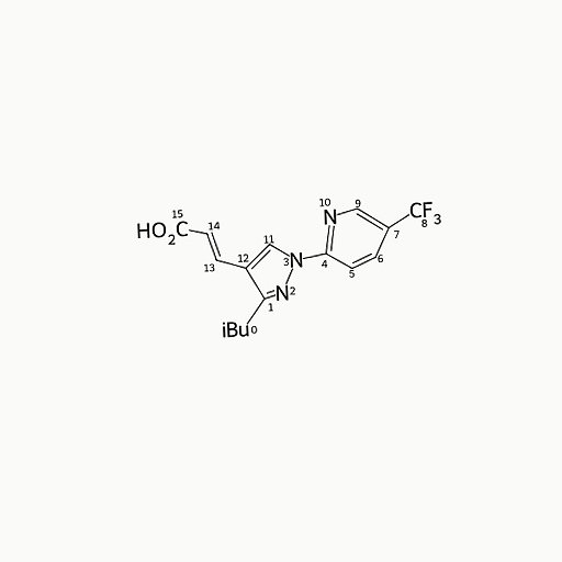 CCC(C)c1nn(-c2ccc(C(F)(F)F)cn2)cc1C=CC(=O)O